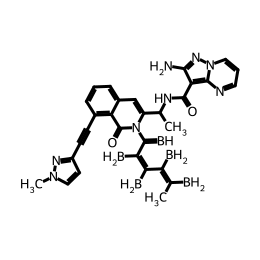 B=C(/C(B)=C(B)\C(B)=C(\B)C)n1c(C(C)NC(=O)c2c(N)nn3cccnc23)cc2cccc(C#Cc3ccn(C)n3)c2c1=O